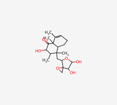 CC1=CCCC2C1(C)C(=O)C(O)C(C)C2(C)CC1OC(O)C(O)C12CO2